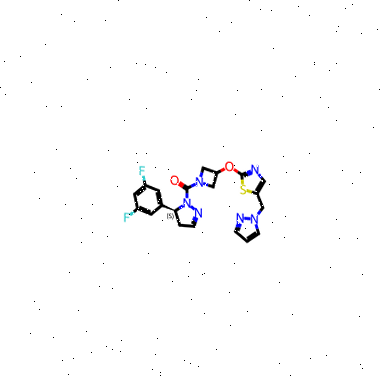 O=C(N1CC(Oc2ncc(Cn3cccn3)s2)C1)N1N=CC[C@H]1c1cc(F)cc(F)c1